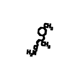 CC1/C=C\C(CC(C)/C=C\COCN)CCCC1